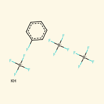 F[B-](F)(F)F.F[B-](F)(F)F.F[B-](F)(F)F.Fc1ccccc1.[KH]